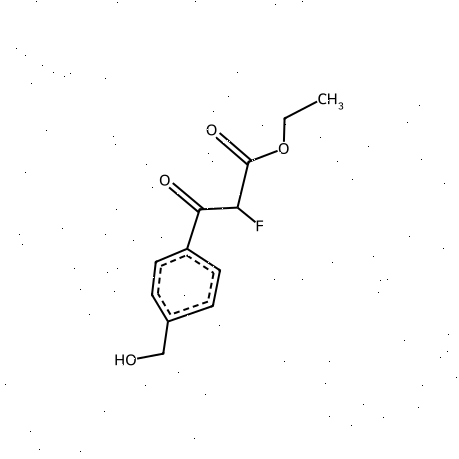 CCOC(=O)C(F)C(=O)c1ccc(CO)cc1